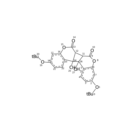 CC(C)(C)Oc1ccc2c(c1)OC(=O)C1C3C(=O)Oc4cc(OC(C)(C)C)ccc4C3(C)C21C